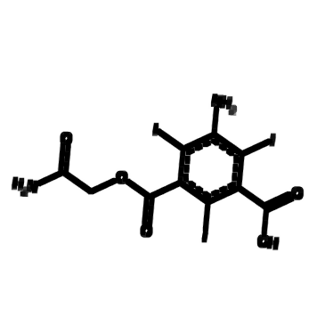 NC(=O)COC(=O)c1c(I)c(N)c(I)c(C(=O)O)c1I